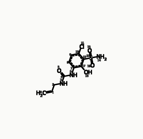 C=CCNC(=O)Nc1ccc(Cl)c(S(N)(=O)=O)c1O